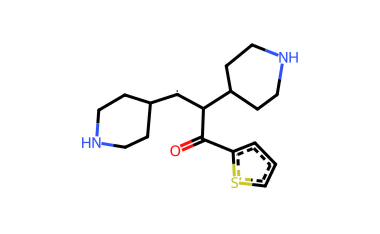 O=C(c1cccs1)C([CH]C1CCNCC1)C1CCNCC1